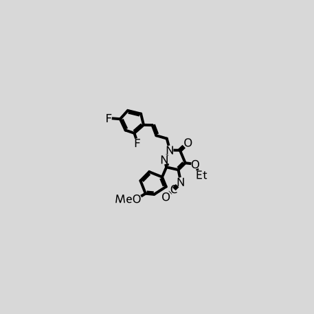 CCOc1c(N=C=O)c(-c2ccc(OC)cc2)nn(CC=Cc2ccc(F)cc2F)c1=O